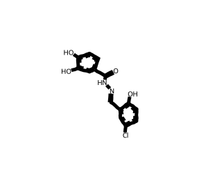 O=C(N/N=C/c1cc(Cl)ccc1O)c1ccc(O)c(O)c1